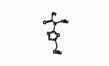 CCCCN(C(=O)C(C)C)c1ncc(COCC(C)C)o1